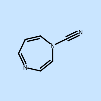 N#CN1C=CC=NC=C1